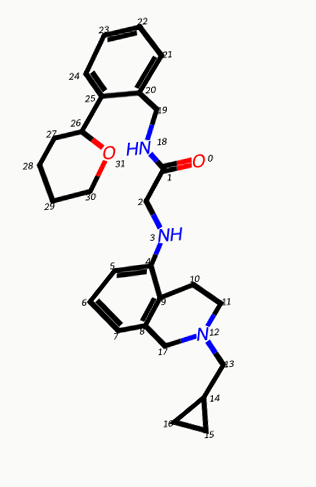 O=C(CNc1cccc2c1CCN(CC1CC1)C2)NCc1ccccc1C1CCCCO1